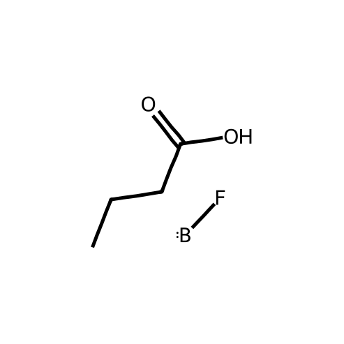 CCCC(=O)O.[B]F